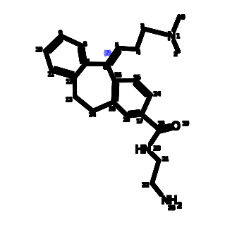 CN(C)CC/C=C1/c2ccccc2CCc2cc(C(=O)NCCN)ccc21